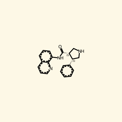 O=C(Nc1cccc2cccnc12)[C@@H]1CNC[C@@H]1c1ccccc1